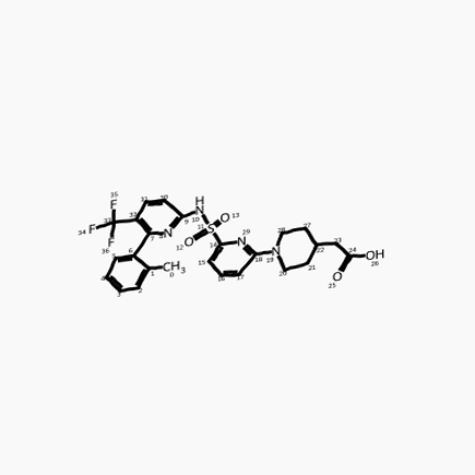 Cc1ccccc1-c1nc(NS(=O)(=O)c2cccc(N3CCC(CC(=O)O)CC3)n2)ccc1C(F)(F)F